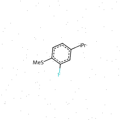 CSc1ccc([C](C)C)cc1F